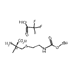 CC(C)(C)OC(=O)NCCSC[C@](C)(N)C(=O)O.O=C(O)C(F)(F)F